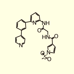 CS(=O)(=O)n1ccc(C(=O)NCC(=O)Nc2cccc(-c3cccc(-c4ccncc4)c3)n2)c1